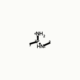 CNP(C)N